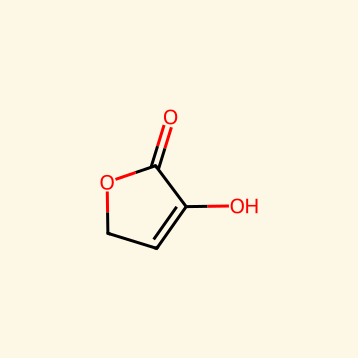 O=C1OCC=C1O